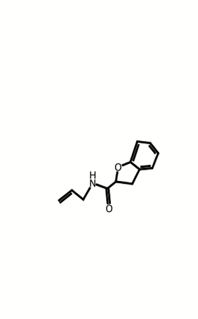 C=CCNC(=O)C1Cc2ccccc2O1